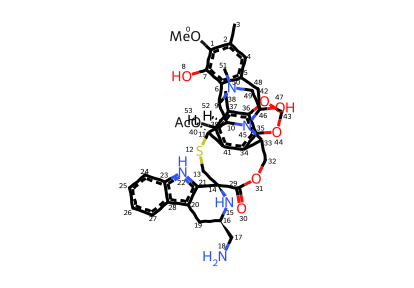 COc1c(C)cc2c(c1O)C1[C@@H]3[C@@H]4SC[C@]5(N[C@@H](CN)Cc6c5[nH]c5ccccc65)C(=O)OCC(c5c6c(c(C)c(OC(C)=O)c54)OCO6)N3C(O)(C2)CN1C